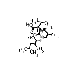 CC(C)C[C@H](N)C(O)CN(CC(C)C)C(=O)N[C@H](C(=O)O)C(C)C